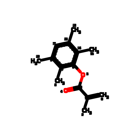 C=C(C)C(=O)Oc1c(C)c(C)cc(C)c1C